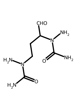 NC(=O)N(N)CCC(C=O)N(N)C(N)=O